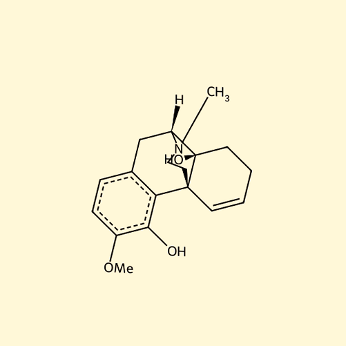 COc1ccc2c(c1O)[C@@]13C=CCC[C@@]1(O)[C@@H](C2)N(C)CC3